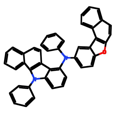 c1ccc(N(c2ccc3oc4ccc5ccccc5c4c3c2)c2cccc3c2c2ccc4ccccc4c2n3-c2ccccc2)cc1